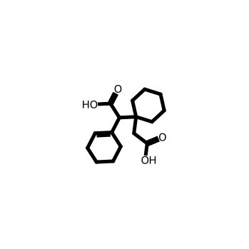 O=C(O)CC1(C(C(=O)O)C2=CCCCC2)CCCCC1